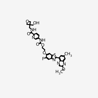 COc1cnc2c(-c3nc4cc(F)c(OCCOC(=O)Nc5ccc(C(=O)NCC6(CO)COC6)nc5)cc4s3)cc(C)cc2n1